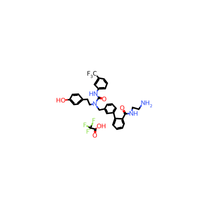 NCCNC(=O)c1ccccc1-c1cccc(CN(CCc2ccc(O)cc2)C(=O)Nc2cccc(C(F)(F)F)c2)c1.O=C(O)C(F)(F)F